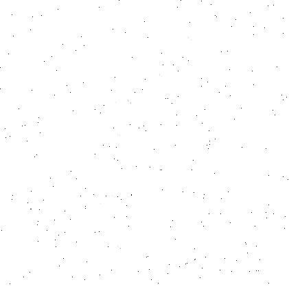 NC[C@H]1CN(c2cc(F)c(N3CCNN(C(=O)CNCc4cnoc4)CC3)c(F)c2)C(=O)O1